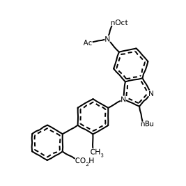 CCCCCCCCN(C(C)=O)c1ccc2nc(CCCC)n(-c3ccc(-c4ccccc4C(=O)O)c(C)c3)c2c1